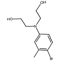 Cc1cc(N(CCO)CCO)ccc1Br